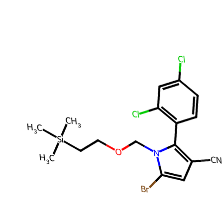 C[Si](C)(C)CCOCn1c(Br)cc(C#N)c1-c1ccc(Cl)cc1Cl